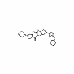 Cn1c(=O)c(Nc2ccc(N3CCOCC3)cc2)cc2cc(-c3ccn(Cc4ccccc4)n3)ccc21